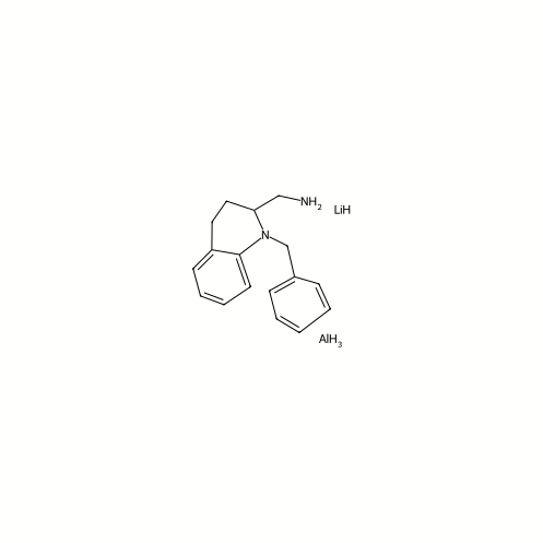 NCC1CCc2ccccc2N1Cc1ccccc1.[AlH3].[LiH]